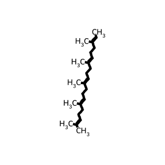 C/C=C(\C)CC/C=C(\C)CC/C=C(\C)CC/C=C(\C)CCC=C(C)C